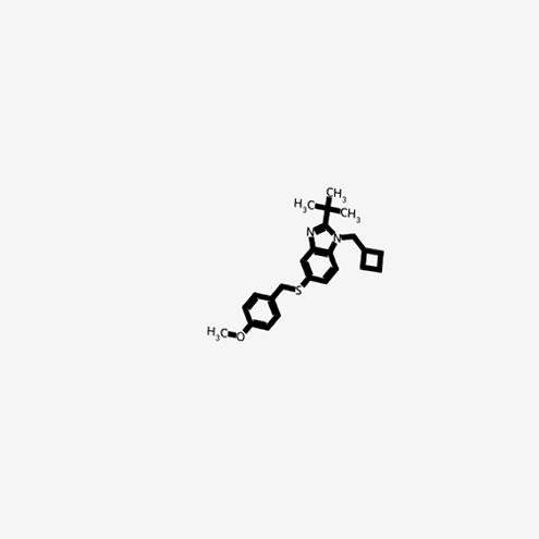 COc1ccc(CSc2ccc3c(c2)nc(C(C)(C)C)n3CC2CCC2)cc1